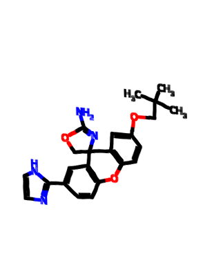 CC(C)(C)COc1ccc2c(c1)C1(COC(N)=N1)c1cc(-c3ncc[nH]3)ccc1O2